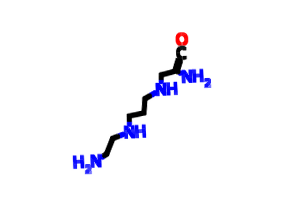 NCCNCCCNCC(N)=C=O